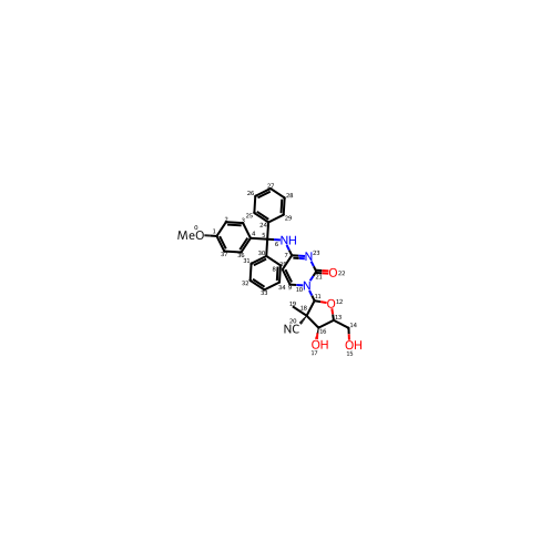 COc1ccc(C(Nc2ccn(C3OC(CO)[C@@H](O)[C@@]3(C)C#N)c(=O)n2)(c2ccccc2)c2ccccc2)cc1